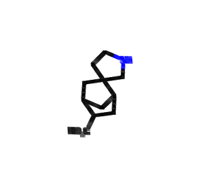 O=C(O)C1CC2CC1CC21CCNC1